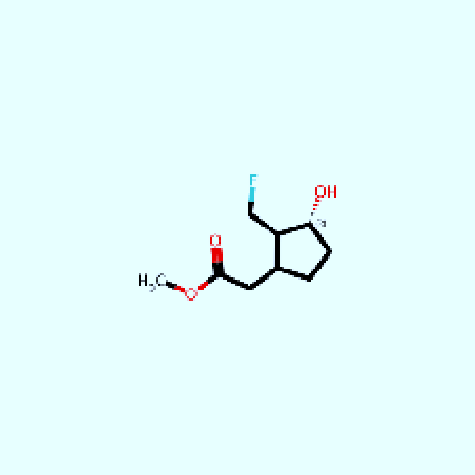 COC(=O)CC1CC[C@@H](O)C1CF